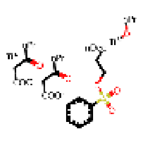 CCCC(=O)CC(=O)[O-].CCCC(=O)CC(=O)[O-].CCCCCCCCCCCCOS(=O)(=O)c1ccccc1.CCC[O][Ti+3].[Ti+4]